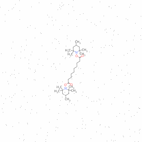 CC1CC(C)(C)N(OC(=O)CCCCCCCCC(=O)ON2C(C)(C)CC(C)CC2(C)C)C(C)(C)C1